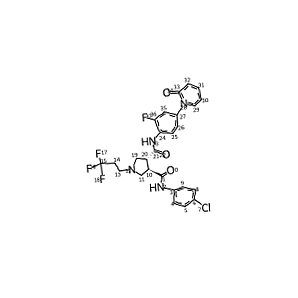 O=C(Nc1ccc(Cl)cc1)[C@H]1CN(CCC(F)(F)F)C[C@@H]1C(=O)Nc1ccc(-n2ccccc2=O)cc1F